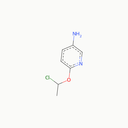 CC(Cl)Oc1ccc(N)cn1